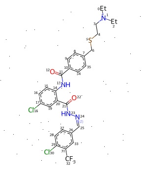 CCN(CC)CCSCc1ccc(C(=O)Nc2ccc(Cl)cc2C(=O)N/N=C\c2ccc(Cl)c(C(F)(F)F)c2)cc1